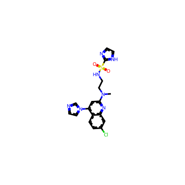 CN(CCNS(=O)(=O)c1ncc[nH]1)c1cc(-n2ccnc2)c2ccc(Cl)cc2n1